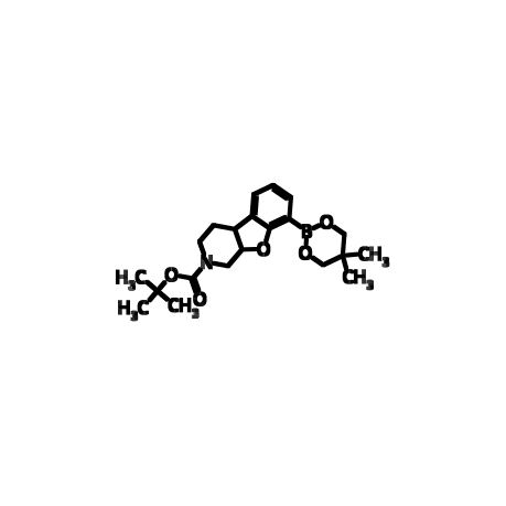 CC1(C)COB(c2cccc3c2OC2CN(C(=O)OC(C)(C)C)CCC32)OC1